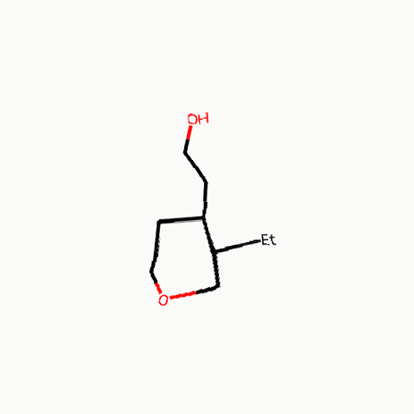 CCC1COCCC1CCO